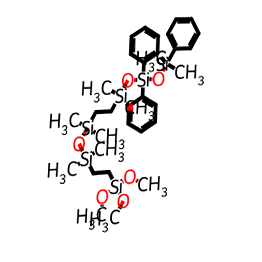 CO[Si](CC[Si](C)(C)O[Si](C)(C)CC[Si](C)(C)O[Si](O[Si](C)(C)c1ccccc1)(c1ccccc1)c1ccccc1)(OC)OC